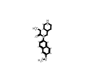 CCC(=O)N(CC1CCNCC1)c1ccc2cc(OC)ccc2c1